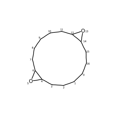 C1CCCC2OC2CCCCCC2OC2CC1